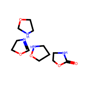 C1=NCCO1.C1CNOC1.C1COCN1.O=C1NCCO1